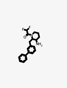 NC1CCCN(C(=O)C(F)F)C1Cc1cccc(-c2ccccc2)c1